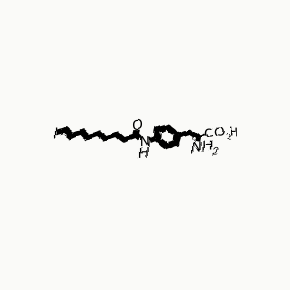 N[C@@H](Cc1ccc(NC(=O)CCCCCCCCI)cc1)C(=O)O